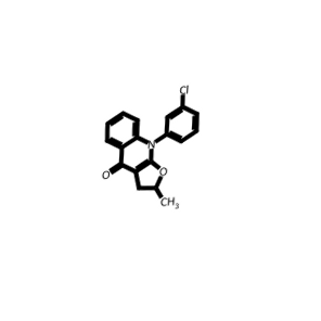 CC1Cc2c(n(-c3cccc(Cl)c3)c3ccccc3c2=O)O1